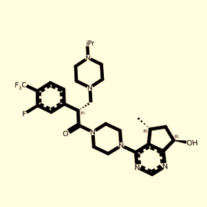 CC(C)N1CCN(C[C@H](C(=O)N2CCN(c3ncnc4c3[C@H](C)C[C@H]4O)CC2)c2ccc(C(F)(F)F)c(F)c2)CC1